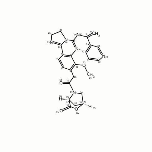 C=C(NC1=Nc2c(ccc(CC(=O)N3C[C@@H]4C[C@H]3C(=O)O4)c2OC)C2=NCCN12)c1cccnc1